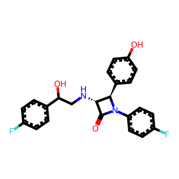 O=C1[C@H](NCC(O)c2ccc(F)cc2)[C@@H](c2ccc(O)cc2)N1c1ccc(F)cc1